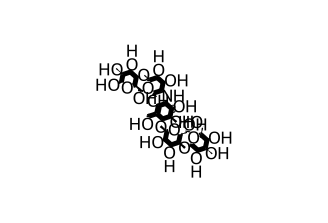 C[C@H]1O[C@H](O[C@H]2[C@H](O)[C@@H](O)[C@@H](O)O[C@@H]2CO)[C@H](O)[C@@H](O)[C@@H]1N[C@H]1C=C(CO)[C@@H](O[C@H]2O[C@H](CO)[C@@H](O[C@H]3O[C@H](CO)[C@@H](O)[C@H](O)[C@H]3O)[C@H](O)[C@H]2O)[C@H](O)[C@H]1O